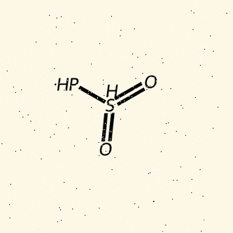 O=[SH](=O)[PH]